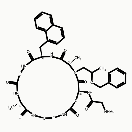 CC(=O)NCC(=O)N[C@H]1CC(=O)NCCNC(=O)[C@H](C)NC(=O)CNC(=O)[C@@H](Cc2cccc3ccccc23)NC(=O)[C@H](C)N(CC(C)OCc2ccccc2)C1=O